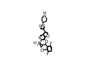 Nc1ncc2c(-c3cnn(C4CCNCC4)c3)coc2c1OC(c1c(F)ccc(F)c1Cl)C1CC1